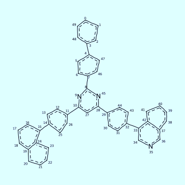 c1ccc(-c2ccc(-c3nc(-c4ccc(-c5cccc6ccccc56)cc4)cc(-c4ccc(-c5cncc6ccccc56)cc4)n3)cc2)cc1